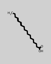 CCCC=CC=CCCCCCCCCCCC(=O)O